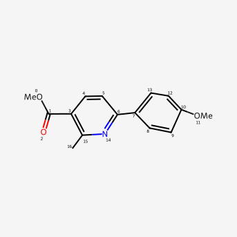 COC(=O)c1ccc(-c2ccc(OC)cc2)nc1C